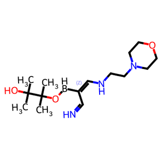 CC(C)(O)C(C)(C)OB/C(C=N)=C/NCCN1CCOCC1